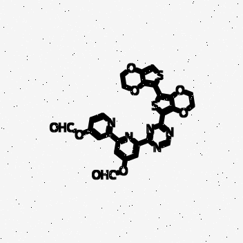 O=COc1ccnc(-c2cc(OC=O)cc(-c3ncnc(-c4sc(-c5scc6c5OCCO6)c5c4OCCO5)n3)n2)c1